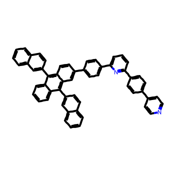 c1cc(-c2ccc(-c3ccncc3)cc2)nc(-c2ccc(-c3ccc4c(-c5ccc6ccccc6c5)c5ccccc5c(-c5ccc6ccccc6c5)c4c3)cc2)c1